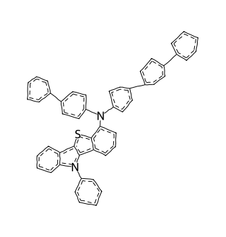 c1ccc(-c2ccc(-c3ccc(N(c4ccc(-c5ccccc5)cc4)c4cccc5c4sc4c6ccccc6n(-c6ccccc6)c54)cc3)cc2)cc1